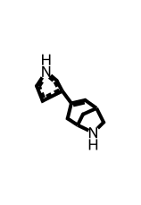 C1=C(c2cc[nH]c2)CC2CC1CN2